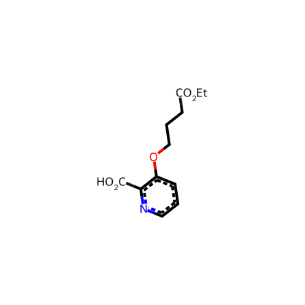 CCOC(=O)CCCOc1cccnc1C(=O)O